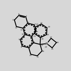 C1=Cc2ccc3c4c(ccc3c2CC1)CCCC4(c1ccccc1)N1CCC1